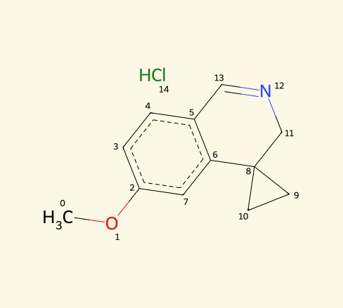 COc1ccc2c(c1)C1(CC1)CN=C2.Cl